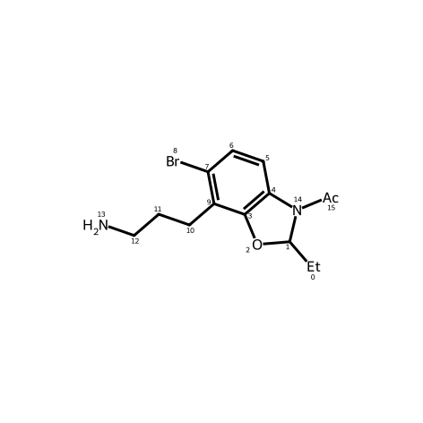 CCC1Oc2c(ccc(Br)c2CCCN)N1C(C)=O